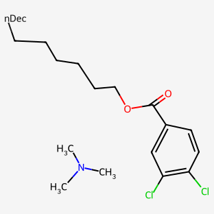 CCCCCCCCCCCCCCCCOC(=O)c1ccc(Cl)c(Cl)c1.CN(C)C